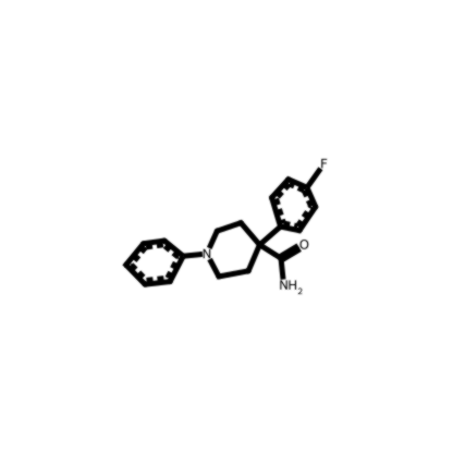 NC(=O)C1(c2ccc(F)cc2)CCN(c2ccccc2)CC1